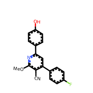 COc1nc(-c2ccc(O)cc2)cc(-c2ccc(F)cc2)c1C#N